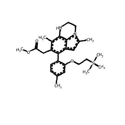 COC(=O)Cc1c(C)c2c3c(cc(C)n3CCN2)c1-c1ccc(C)cc1OCC[Si](C)(C)C